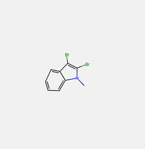 Cn1c(Br)c(Br)c2ccccc21